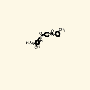 COc1cc(CNC(=O)C2CCN(C(=O)O[C@H]3CCC[C@@H](C)C3)CC2)ccc1O